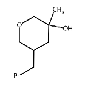 CC(C)CC1COCC(C)(O)C1